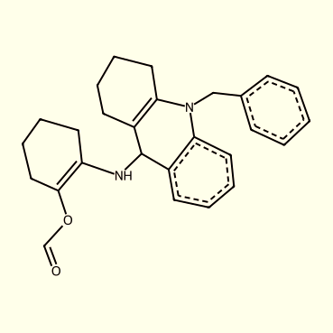 O=COC1=C(NC2C3=C(CCCC3)N(Cc3ccccc3)c3ccccc32)CCCC1